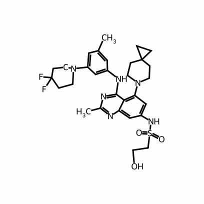 Cc1cc(Nc2nc(C)nc3cc(NS(=O)(=O)CCO)cc(N4CCC5(CC4)CC5)c23)cc(N2CCC(F)(F)CC2)c1